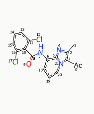 CC(=O)c1c(C)nc2c(NC(=O)c3c(Cl)cccc3Cl)cccn12